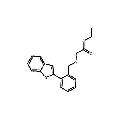 CCOC(=O)CSCc1ccccc1-c1cc2ccccc2o1